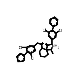 C=C(Cc1cc(Cl)c(-c2ccccc2)c(Cl)c1)C1CCCCC1(C(=C)Cc1cc(Cl)c(-c2ccccc2)c(Cl)c1)C(C)N